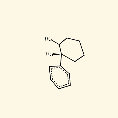 OC1CCCC[C@]1(O)c1ccccc1